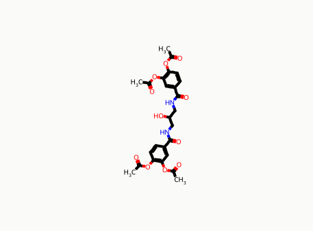 CC(=O)Oc1ccc(C(=O)NCC(O)CNC(=O)c2ccc(OC(C)=O)c(OC(C)=O)c2)cc1OC(C)=O